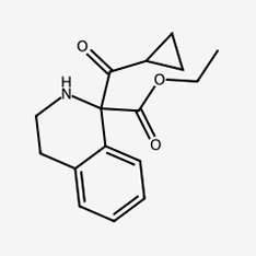 CCOC(=O)C1(C(=O)C2CC2)NCCc2ccccc21